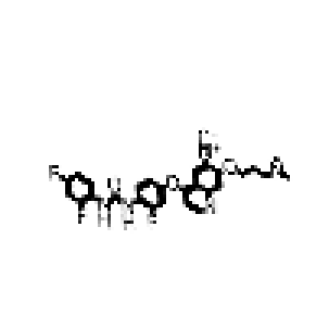 [C-]#[N+]c1cc2c(Oc3ccc(NC(=O)Nc4ccc(F)cc4F)c(F)c3)ccnc2cc1OCCCN(C)C